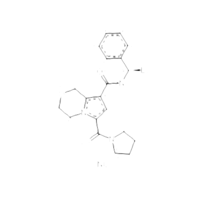 CC[C@@H](NC(=O)c1cc(C(=O)N2CCC[C@@H]2C#N)n2c1COCC2)c1ccccc1